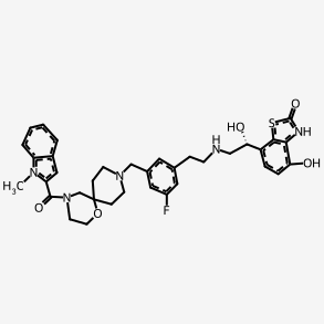 Cn1c(C(=O)N2CCOC3(CCN(Cc4cc(F)cc(CCNC[C@H](O)c5ccc(O)c6[nH]c(=O)sc56)c4)CC3)C2)cc2ccccc21